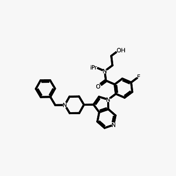 CC(C)N(CCO)C(=O)c1cc(F)ccc1-n1cc(C2CCN(Cc3ccccc3)CC2)c2ccncc21